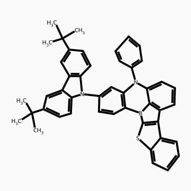 CC(C)(C)c1ccc2c(c1)c1cc(C(C)(C)C)ccc1n2-c1ccc2c(c1)N(c1ccccc1)c1cccc3c1B2c1sc2ccccc2c1-3